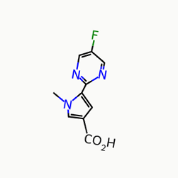 Cn1cc(C(=O)O)cc1-c1ncc(F)cn1